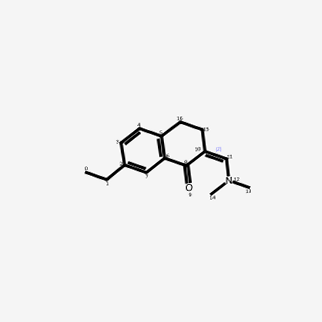 CCc1ccc2c(c1)C(=O)/C(=C\N(C)C)CC2